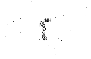 CN(C)C(=O)N1CCN(CCCOc2ccc3c(C4CCNCC4)ncnc3c2)CC1